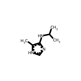 Cc1[nH]cnc1NC(C)C